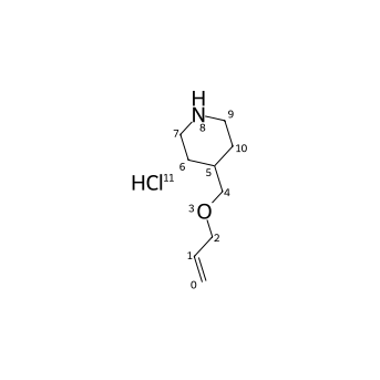 C=CCOCC1CCNCC1.Cl